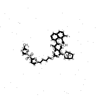 C#Cc1c(F)ccc2cccc(-c3ncc4c(N5CC6CCC(C5)N6)nc(OCCCCn5ccc(S(=O)(=O)n6cnc(C)n6)n5)nc4c3F)c12